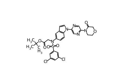 CC(C)(C)OC(=O)CN(c1ccc2c(ccn2-c2cnc(N3CCOCC3=O)cn2)c1)S(=O)(=O)c1cc(Cl)cc(Cl)c1